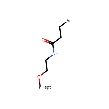 CCCCCCCOCCNC(=O)CCC(C)=O